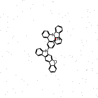 N#Cc1ccc(-n2c3ccccc3c3cc4c(cc32)oc2ccccc24)cc1-c1ccccc1-n1c2ccccc2c2ccccc21